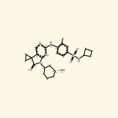 Cc1cc(S(=O)(=O)NC2CCC2)ccc1Nc1ncc2c(n1)N(C1CCC[C@@H](O)C1)C(=O)C21CC1